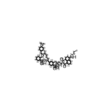 CCCCNc1ccc2c3c(cccc13)C(=O)N(CCNCc1cc(CCCCC(C)N(Cc3ccc(N(C)C)cc3)Cc3ccccc3B(O)O)ccc1B(O)O)C2=O